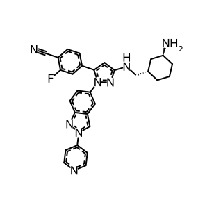 N#Cc1ccc(-c2cc(NC[C@H]3CCC[C@H](N)C3)nn2-c2ccc3nn(-c4ccncc4)cc3c2)cc1F